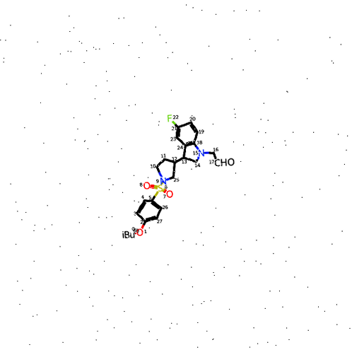 CC[C@@H](C)Oc1ccc(S(=O)(=O)N2CCC(C3CN(CC=O)c4ccc(F)cc43)C2)cc1